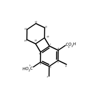 Cc1c(C)c(C(=O)O)c2c(c1C(=O)O)C1CCCCC21